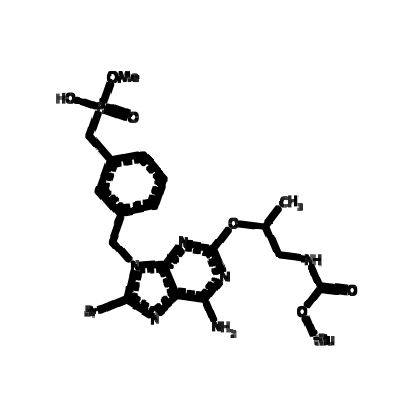 COP(=O)(O)Cc1cccc(Cn2c(Br)nc3c(N)nc(OC(C)CNC(=O)OC(C)(C)C)nc32)c1